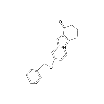 O=C1CCCc2c1cc1cc(OCc3ccccc3)ccn21